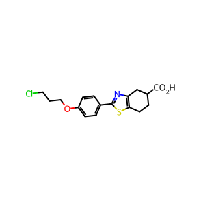 O=C(O)C1CCc2sc(-c3ccc(OCCCCl)cc3)nc2C1